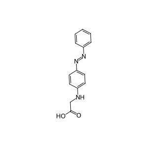 O=C(O)CNc1ccc(N=Nc2ccccc2)cc1